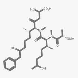 CN[C@@H](C)C(=O)N(C)[C@H](C(=O)N(C)[C@H](C(=O)CC(O)C(=O)O)[C@@H](C)CCCC(O)Cc1ccccc1)[C@@H](C)CCCC(C)O